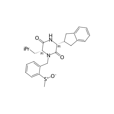 CC(C)C[C@@H]1C(=O)N[C@H](C2Cc3ccccc3C2)C(=O)N1Cc1ccccc1[S+](C)[O-]